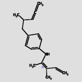 C=C=CC(C)Cc1ccc(N/C(C)=C(/C)C=C)cc1